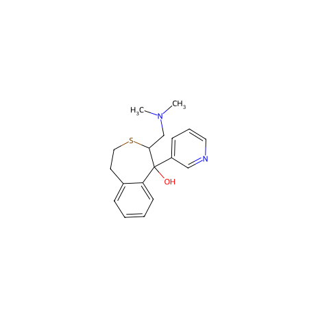 CN(C)CC1SCCc2ccccc2C1(O)c1cccnc1